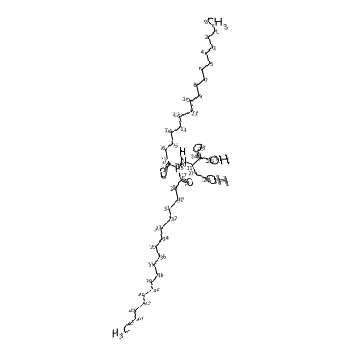 CCCCCCCCCCCCCCCCCC(=O)P(NC(CO)C(=O)O)C(=O)CCCCCCCCCCCCCCCCC